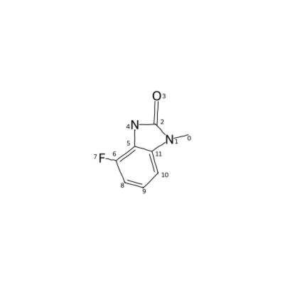 CN1C(=O)[N]c2c(F)cccc21